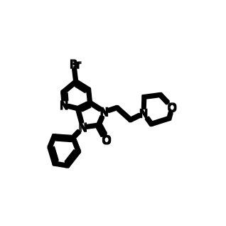 O=c1n(CCN2CCOCC2)c2cc(Br)cnc2n1-c1ccccc1